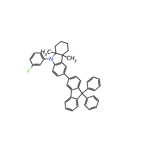 CC12CCCCC1(C)N(c1cccc(F)c1)c1ccc(-c3ccc4c(c3)-c3ccccc3C4(c3ccccc3)c3ccccc3)cc12